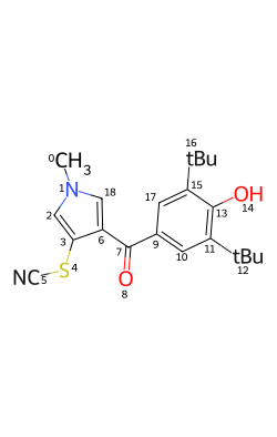 Cn1cc(SC#N)c(C(=O)c2cc(C(C)(C)C)c(O)c(C(C)(C)C)c2)c1